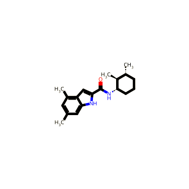 Cc1cc(C)c2cc(C(=O)N[C@H]3CCC[C@@H](C)[C@@H]3C)[nH]c2c1